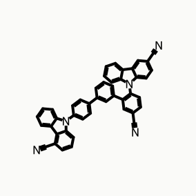 N#Cc1ccc(-n2c3ccccc3c3cc(C#N)ccc32)c(-c2cccc(-c3ccc(-n4c5ccccc5c5c(C#N)cccc54)cc3)c2)c1